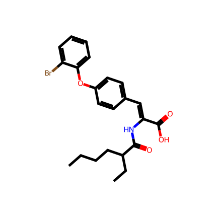 CCCCC(CC)C(=O)NC(=Cc1ccc(Oc2ccccc2Br)cc1)C(=O)O